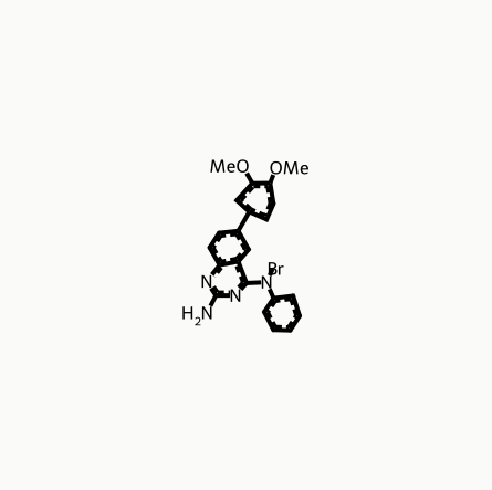 COc1ccc(-c2ccc3nc(N)nc(N(Br)c4ccccc4)c3c2)cc1OC